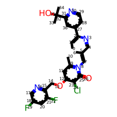 C\C=C(/N=C\C(C)=C\n1c(C)cc(OCc2ncc(F)cc2F)c(Cl)c1=O)c1ccnc(C(C)(C)O)c1